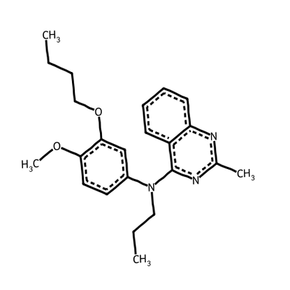 CCCCOc1cc(N(CCC)c2nc(C)nc3ccccc23)ccc1OC